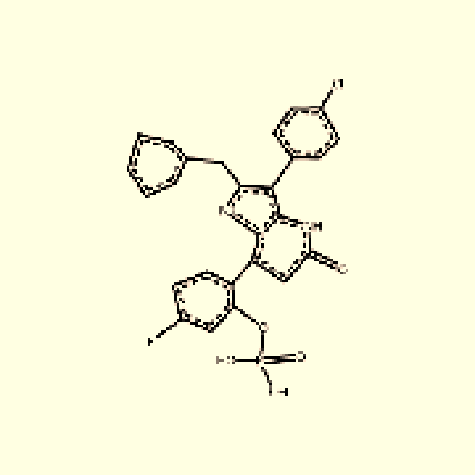 O=c1cc(-c2ccc(F)cc2OP(=O)(O)O)n2nc(Cc3ccccc3)c(-c3ccc(Cl)cc3)c2[nH]1